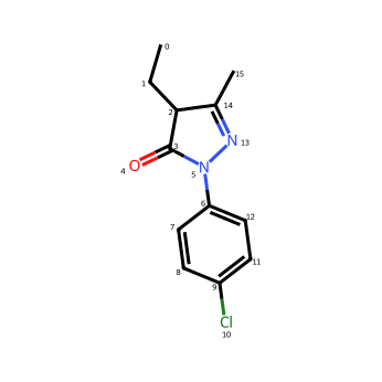 CCC1C(=O)N(c2ccc(Cl)cc2)N=C1C